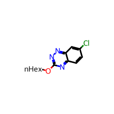 CCCCCCOc1nnc2cc(Cl)ccc2n1